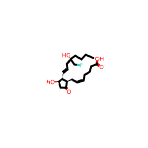 CCCCC(O)(CF)C/C=C/[C@H]1[C@H](O)CC(=O)[C@@H]1C/C=C\CCCC(=O)O